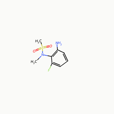 CN(c1c(N)cccc1F)S(C)(=O)=O